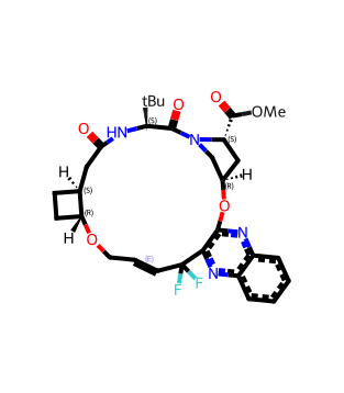 COC(=O)[C@@H]1C[C@@H]2CN1C(=O)[C@H](C(C)(C)C)NC(=O)C[C@@H]1CC[C@H]1OC/C=C/C(F)(F)c1nc3ccccc3nc1O2